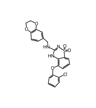 O=S1(=O)N=C(NCc2ccc3c(c2)OCCO3)Nc2c(Oc3ccccc3Cl)cccc21